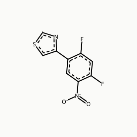 O=[N+]([O-])c1cc(-c2cs[c]n2)c(F)cc1F